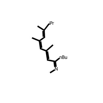 CCCCC(/C=C(C)/C=C(C)\C=C(/C)C(C)C)=N/C